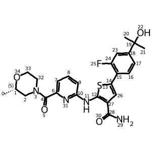 C[C@H]1CN(C(=O)c2cccc(Nc3sc(-c4ccc(C(C)(C)O)cc4F)cc3C(N)=O)n2)CCO1